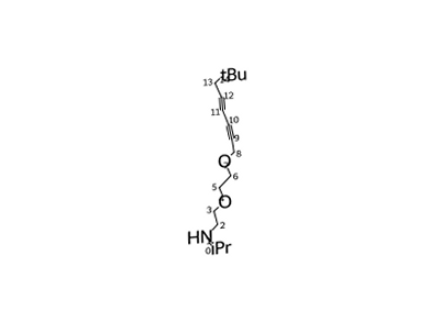 CC(C)NCCOCCOCC#CC#CCC(C)(C)C